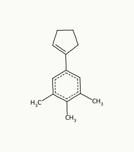 Cc1cc(C2=CCCC2)cc(C)c1C